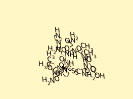 C1CNCCN1.CC[C@H](C)[C@@H]1NC(=O)[C@H](Cc2ccc(O)cc2)NC(=O)[C@@H](N)CSSC[C@@H](C(=O)N2CCC[C@H]2C(=O)N[C@@H](CC(C)C)C(=O)NCC(N)=O)NC(=O)[C@H](CC(N)=O)NC(=O)[C@H](CCC(N)=O)NC1=O